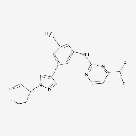 Cc1cc(Nc2nccc(C(F)F)n2)cc(-c2cnn(C3C=CCCC3)c2)c1